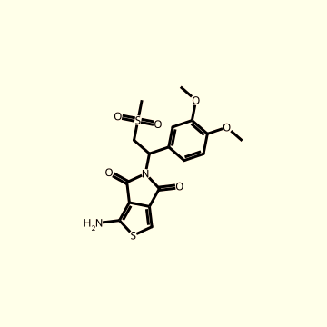 COc1ccc(C(CS(C)(=O)=O)N2C(=O)c3csc(N)c3C2=O)cc1OC